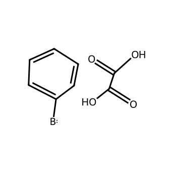 O=C(O)C(=O)O.[B]c1ccccc1